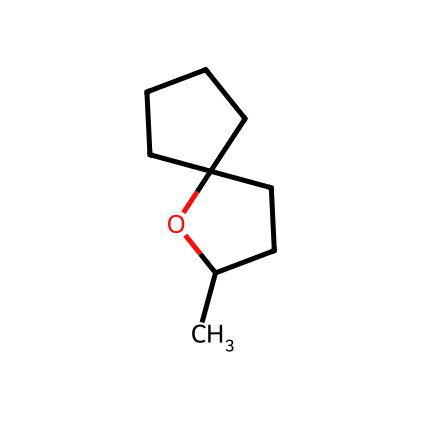 CC1CCC2(CCCC2)O1